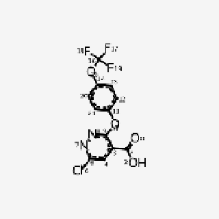 O=C(O)c1cc(Cl)nnc1Oc1ccc(OC(F)(F)F)cc1